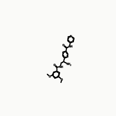 COc1cc(OC)cc(C(=O)NCC(N)c2ccc(C(=O)Nc3ccncc3)cc2)c1